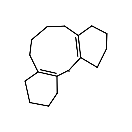 [C]1C2=C(CCCC2)CCCCC2=C1CCCC2